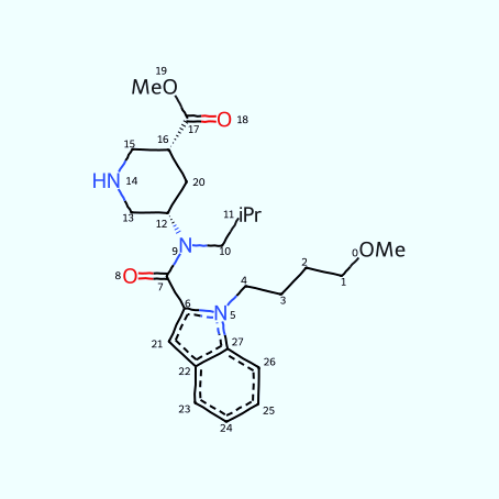 COCCCCn1c(C(=O)N(CC(C)C)[C@@H]2CNC[C@H](C(=O)OC)C2)cc2ccccc21